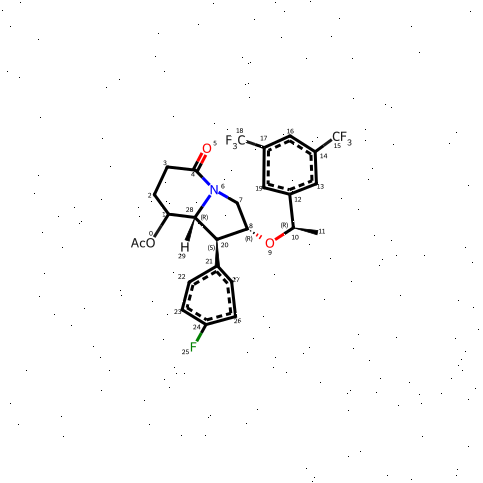 CC(=O)OC1CCC(=O)N2C[C@H](O[C@H](C)c3cc(C(F)(F)F)cc(C(F)(F)F)c3)[C@@H](c3ccc(F)cc3)[C@H]12